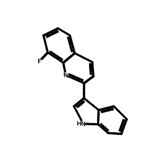 Fc1cccc2ccc(-c3c[nH]c4ccccc34)nc12